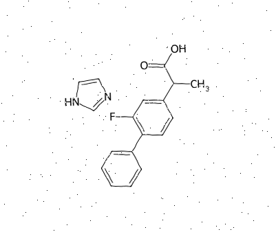 CC(C(=O)O)c1ccc(-c2ccccc2)c(F)c1.c1c[nH]cn1